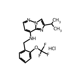 CC(C)c1cn2nccc(NCc3ccccc3OC(F)(F)F)c2n1.Cl